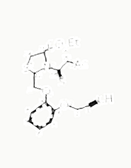 C#CCOc1ccccc1OCC1SCC(C(=O)OCC)N1C(=S)CC(C)=O